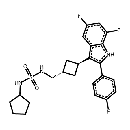 O=S(=O)(NC[C@H]1C[C@H](c2c(-c3ccc(F)cc3)[nH]c3c(F)cc(F)cc32)C1)NC1CCCC1